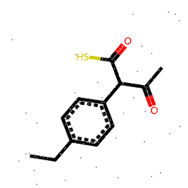 CCc1ccc(C(C(C)=O)C(=O)S)cc1